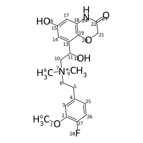 COc1cc(CC[N+](C)(C)CC(O)c2cc(O)cc3c2OCC(=O)N3)ccc1F